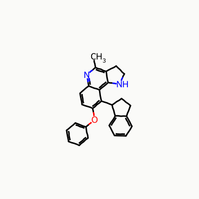 Cc1nc2ccc(Oc3ccccc3)c(C3CCc4ccccc43)c2c2c1CCN2